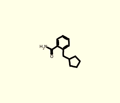 NC(=O)c1ccccc1CC1CCCC1